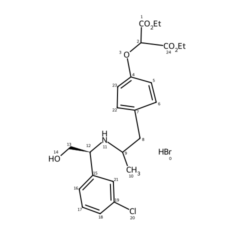 Br.CCOC(=O)C(Oc1ccc(CC(C)N[C@H](CO)c2cccc(Cl)c2)cc1)C(=O)OCC